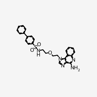 Nc1nc2ccccc2c2c1ncn2CCOCCNS(=O)(=O)c1ccc(-c2ccccc2)cc1